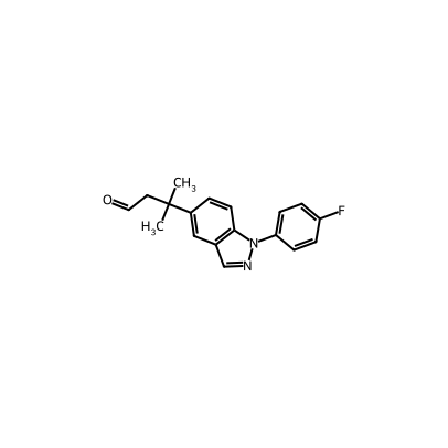 CC(C)(CC=O)c1ccc2c(cnn2-c2ccc(F)cc2)c1